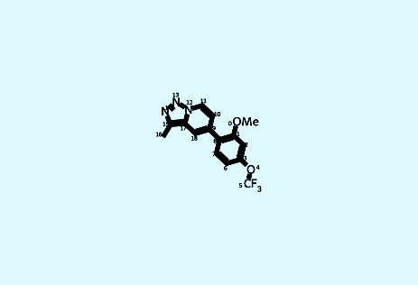 COc1cc(OC(F)(F)F)ccc1-c1ccn2nnc(C)c2c1